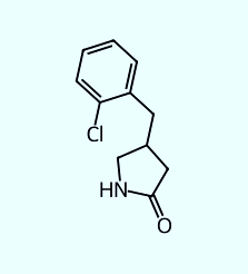 O=C1CC(Cc2ccccc2Cl)CN1